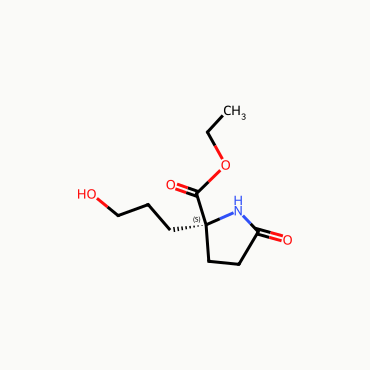 CCOC(=O)[C@]1(CCCO)CCC(=O)N1